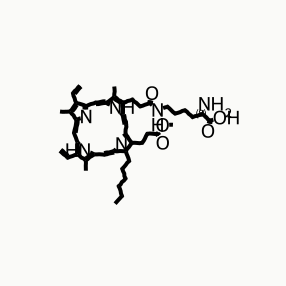 C=CC1=C(C)c2cc3[nH]c(cc4nc(cc5[nH]c(cc1n2)c(C)c5CCC(=O)NCCCC[C@H](N)C(=O)O)C(CCC(=O)OC)C4CCCCCC)c(C)c3C=C